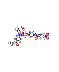 COC(C(C)=O)C(NC(=O)c1ccc(NC(=O)c2ccc([N+](=O)[O-])cc2)cc1)C(=O)Nc1ccc(C(C)=O)cc1